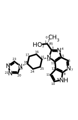 C[C@@H](O)c1nc2cnc3[nH]ccc3c2n1[C@H]1CC[C@@H](n2cnnc2)CC1